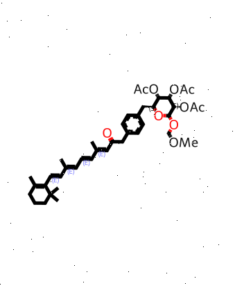 COCOC1O[C@@H](Cc2ccc(CC(=O)/C=C(C)/C=C/C=C(C)/C=C/C3=C(C)CCCC3(C)C)cc2)C(OC(C)=O)C(OC(C)=O)[C@@H]1OC(C)=O